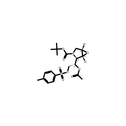 CC(=O)O[C@H](COS(=O)(=O)c1ccc(C)cc1)[C@@H]1[C@H]2O[C@H]2CN1C(=O)OC(C)(C)C